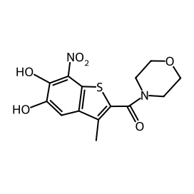 Cc1c(C(=O)N2CCOCC2)sc2c([N+](=O)[O-])c(O)c(O)cc12